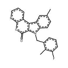 Cc1ccc2c(c1)c1c3cccnc3oc(=O)c1n2Cc1cccc(F)c1C